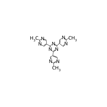 Cc1ncc(-c2nc(-c3cnc(C)nc3)nc(-c3cnc(C)nc3)n2)cn1